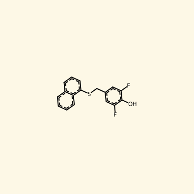 Oc1c(F)cc(CSc2cccc3ccccc23)cc1F